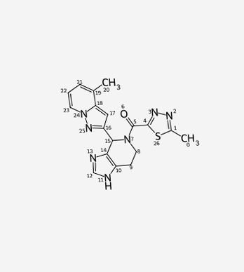 Cc1nnc(C(=O)N2CCc3[nH]cnc3C2c2cc3c(C)cccn3n2)s1